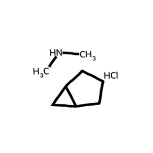 C1CC2CC2C1.CNC.Cl